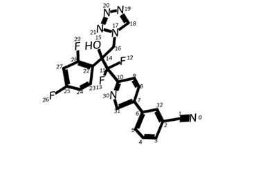 N#Cc1cccc(-c2ccc(C(F)(F)C(O)(Cn3cnnn3)c3ccc(F)cc3F)nc2)c1